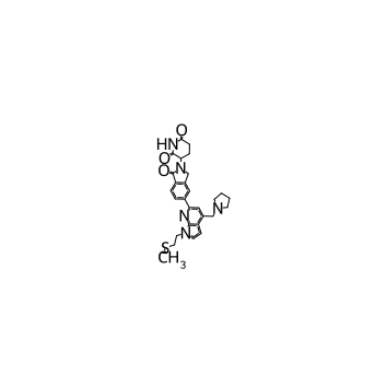 CSCCn1ccc2c(CN3CCCC3)cc(-c3ccc4c(c3)CN(C3CCC(=O)NC3=O)C4=O)nc21